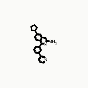 Bc1cc2cc(C3CCCC3)ccc2c(-c2cccc(-c3cccnc3)c2)n1